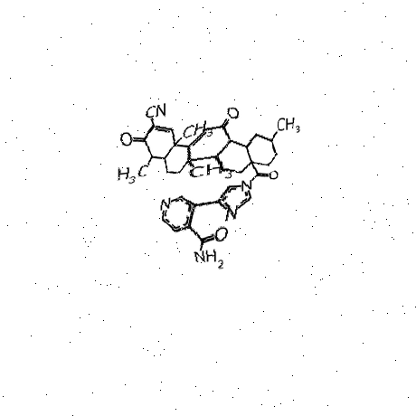 CC1CCC2(C(=O)n3cnc(-c4cnccc4C(N)=O)c3)CCC3C(C(=O)C=C4C5(C)C=C(C#N)C(=O)C(C)C5CCC43C)C2C1